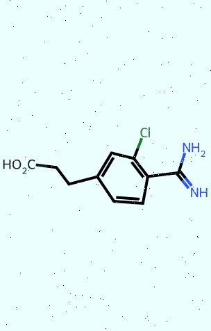 N=C(N)c1ccc(CCC(=O)O)cc1Cl